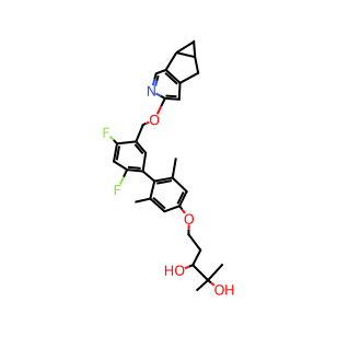 Cc1cc(OCCC(O)C(C)(C)O)cc(C)c1-c1cc(COc2cc3c(cn2)C2CC2C3)c(F)cc1F